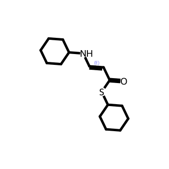 O=C(/C=C/NC1CCCCC1)SC1CCCCC1